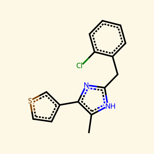 Cc1[nH]c(Cc2ccccc2Cl)nc1-c1ccsc1